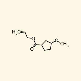 C=CCOC(=O)[C@H]1CC[C@H](OC)C1